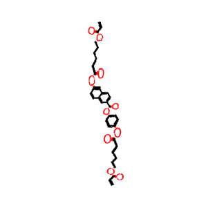 C=CC(=O)OCCCCCC(=O)Oc1ccc(OC(=O)c2ccc3cc(OC(=O)CCCCCOC(=O)C=C)ccc3c2)cc1